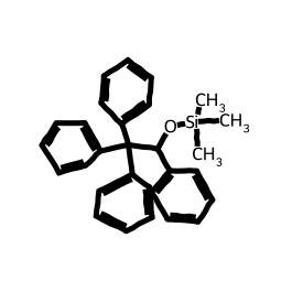 C[Si](C)(C)OC(c1ccccc1)C(c1ccccc1)(c1ccccc1)c1ccccc1